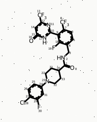 O=C(NCc1ccc(C(F)(F)F)c(-c2nc(C(F)(F)F)cc(=O)[nH]2)c1F)C1CCN(c2ccc(Cl)c(F)c2)CC1